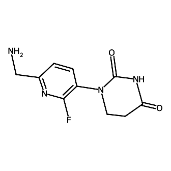 NCc1ccc(N2CCC(=O)NC2=O)c(F)n1